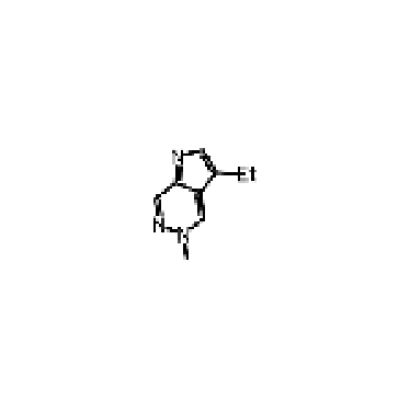 CCc1cnc2cnn(C)cc1-2